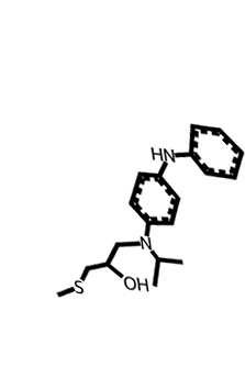 CSCC(O)CN(c1ccc(Nc2ccccc2)cc1)C(C)C